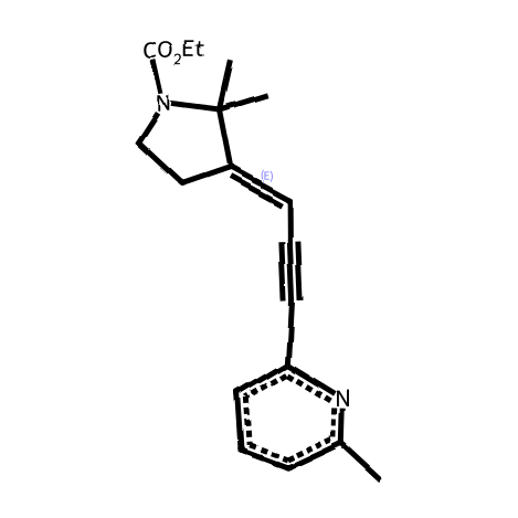 CCOC(=O)N1CC/C(=C\C#Cc2cccc(C)n2)C1(C)C